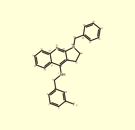 Fc1cccc(CNc2c3c(nc4ccccc24)N(Cc2ccccc2)CC3)c1